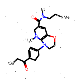 CCN(CCNC)C(=O)C1=CC2=C(N(C)C1)N(C1=CC=C(C(=O)CC(C)(C)C)CC1)CCO2